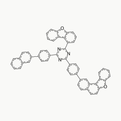 c1ccc2cc(-c3ccc(-c4nc(-c5ccc(-c6ccc7ccc8oc9ccccc9c8c7c6)cc5)nc(-c5cccc6oc7ccccc7c56)n4)cc3)ccc2c1